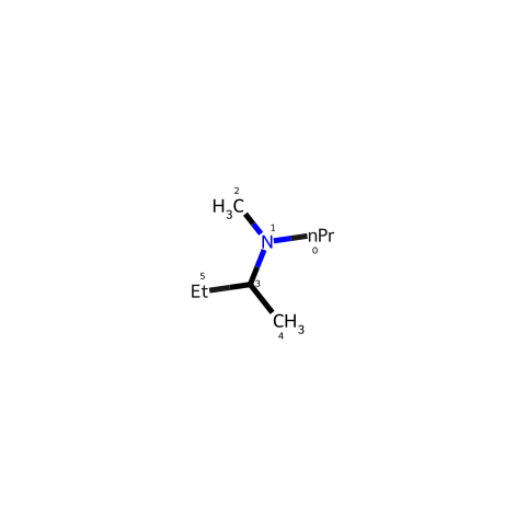 [CH2]CCN(C)C(C)CC